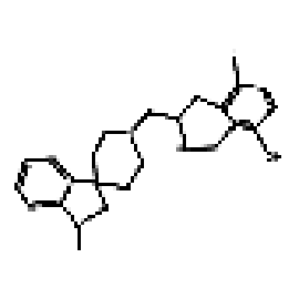 CN1CC2(CCN(CC3Cc4c(F)ccc(O)c4CN3)CC2)c2ccccc21